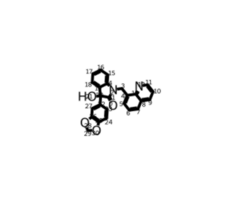 O=C1N(Cc2cccc3cccnc23)c2ccccc2C1(O)c1ccc2c(c1)OCO2